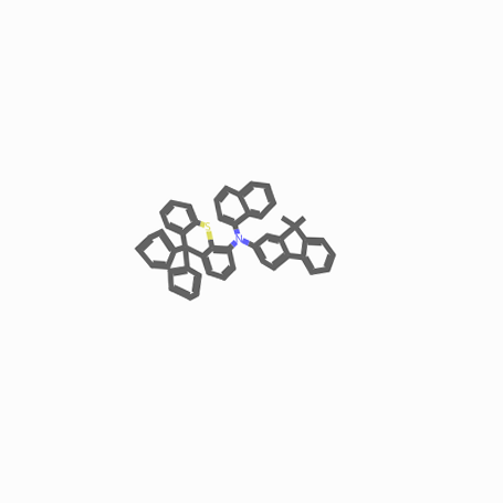 CC1(C)c2ccccc2-c2ccc(N(c3cccc4c3Sc3ccccc3C4(c3ccccc3)c3ccccc3)c3cccc4ccccc34)cc21